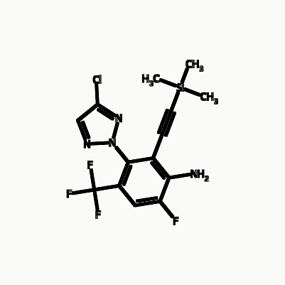 C[Si](C)(C)C#Cc1c(N)c(F)cc(C(F)(F)F)c1-n1ncc(Cl)n1